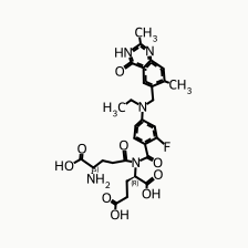 CCN(Cc1cc2c(=O)[nH]c(C)nc2cc1C)c1ccc(C(=O)N(C(=O)CC[C@H](N)C(=O)O)[C@H](CCC(=O)O)C(=O)O)c(F)c1